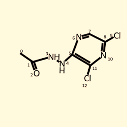 CC(=O)NNc1ncc(Cl)nc1Cl